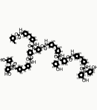 Cc1cccc(OC(=O)Nc2ccc(Cc3ccc(NC(=O)N(c4cccc(OC(=O)Nc5ccc(Cc6ccc(NC(=O)N(c7cccc(O)c7)c7cccc(O)c7)cc6)cc5)c4)c4cccc(OC(=O)Nc5ccc(Cc6ccc(NC(=O)N(c7cccc(O)c7)c7cccc(OC(=O)Nc8ccc(Cc9ccc(NC(=O)N(c%10cccc(O)c%10)c%10cccc(O)c%10)cc9)cc8)c7)cc6)cc5)c4)cc3)cc2)c1